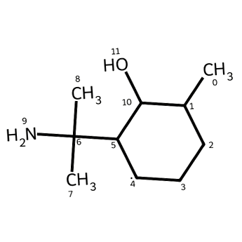 CC1CC[CH]C(C(C)(C)N)C1O